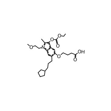 CCOC(=O)Oc1c(C)n(CCOC)c2cc(CCCC3CCCC3)c(OCCCC(=O)O)cc12